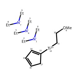 CC[N-]CC.CC[N-]CC.CC[N-]CC.COC[CH2][Ti+3][C]1=CC=CC1